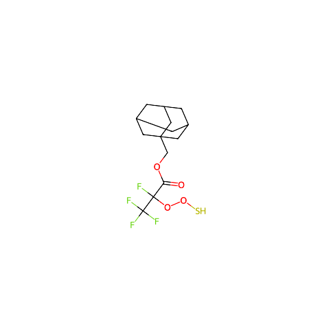 O=C(OCC12CC3CC(CC(C3)C1)C2)C(F)(OOS)C(F)(F)F